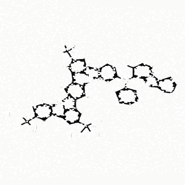 Cc1ccc2c(oc3ccccc32)c1N(c1ccccc1)c1ccc2c3cc(C(C)(C)C)cc4c5cc6c(cc5n(c2c1)c34)c1cc(C(C)(C)C)cc2c3cc(C(C)(C)C)ccc3n6c21